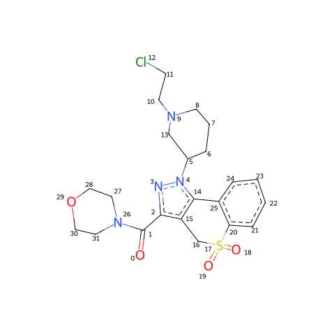 O=C(c1nn(C2CCCN(CCCl)C2)c2c1CS(=O)(=O)c1ccccc1-2)N1CCOCC1